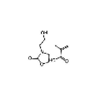 C=C(C)C(=O)O.O=C1OCCN1CCO